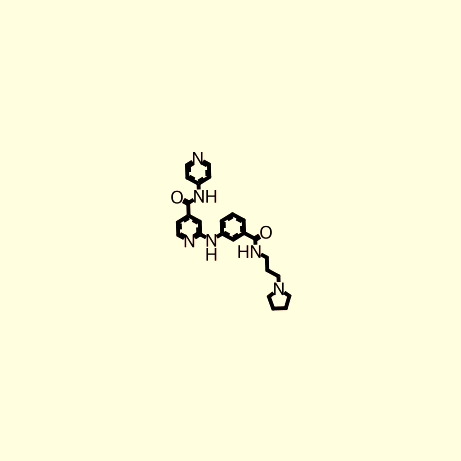 O=C(NCCCN1CCCC1)c1cccc(Nc2cc(C(=O)Nc3ccncc3)ccn2)c1